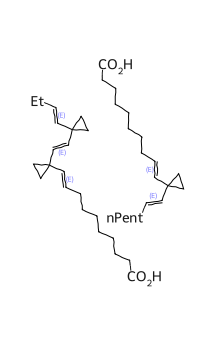 CC/C=C/C1(/C=C/C2(/C=C/CCCCCCCC(=O)O)CC2)CC1.CCCCC/C=C/C1(/C=C/CCCCCCCC(=O)O)CC1